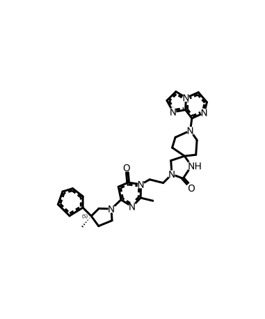 Cc1nc(N2CC[C@@](C)(c3ccccc3)C2)cc(=O)n1CCN1CC2(CCN(c3nccn4ccnc34)CC2)NC1=O